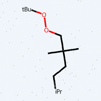 CC(C)CCC(C)(C)COOC(C)(C)C